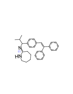 CC(C)C(/N=C1\CCCCCN1)c1ccc(C=C(c2ccccc2)c2ccccc2)cc1